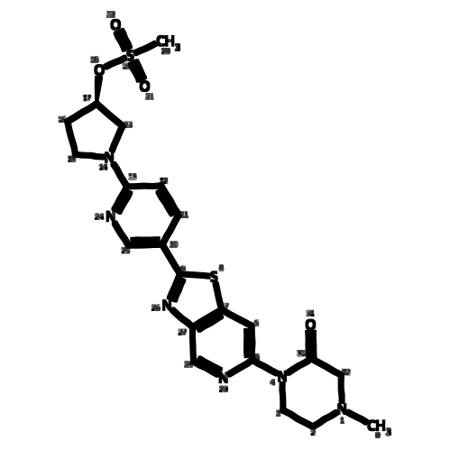 CN1CCN(c2cc3sc(-c4ccc(N5CC[C@@H](OS(C)(=O)=O)C5)nc4)nc3cn2)C(=O)C1